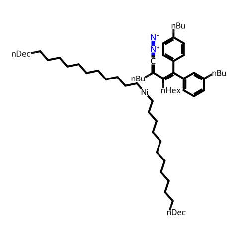 CCCCCCC(C(=C=[N+]=[N-])CCCC)=C(c1ccc(CCCC)cc1)c1cccc(CCCC)c1.CCCCCCCCCCCCCCCCCCCC[CH2][Ni][CH2]CCCCCCCCCCCCCCCCCCCC